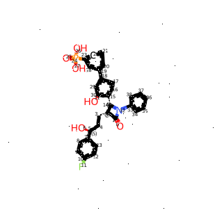 O=C1[C@H](CC[C@H](O)c2ccc(F)cc2)[C@H](c2ccc(-c3cccc(P(=O)(O)O)c3)cc2O)N1c1ccccc1